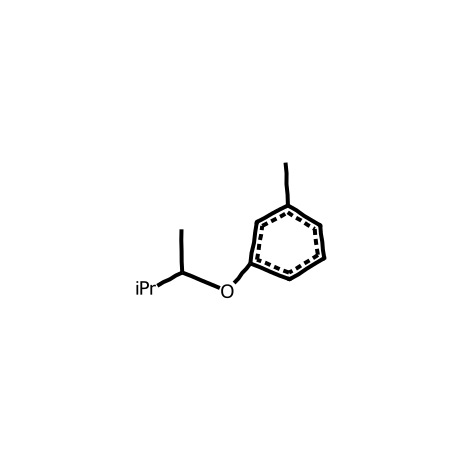 Cc1cccc(OC(C)C(C)C)c1